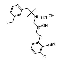 CCc1ccnc(CC(C)(C)NC[C@@H](O)COc2cccc(Cl)c2C#N)c1.Cl.Cl